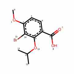 COc1ccc(C(=O)O)c(OC(C)C)c1Br